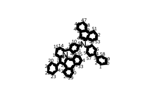 c1ccc(-c2ccc(N(c3ccc(-c4cccc5c(-c6ccccc6)c6c7ccccc7c7ccccc7c6n45)cc3)c3cc4ccccc4c4ccccc34)cc2)cc1